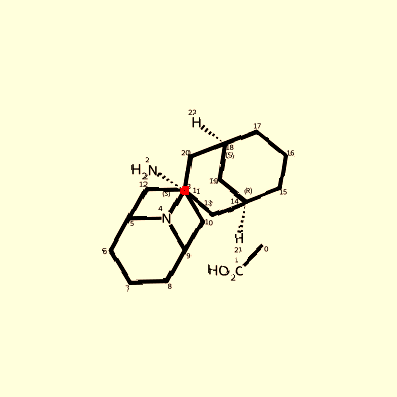 CC(=O)O.N[C@@]1(N2C3CCCC2CCC3)C[C@@H]2CCC[C@@H](C2)C1